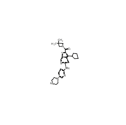 CC1(C)CN(C(=O)c2sc3cnc(Nc4ccc(N5CCNCC5)cn4)cc3c2C2CCCC2)C1